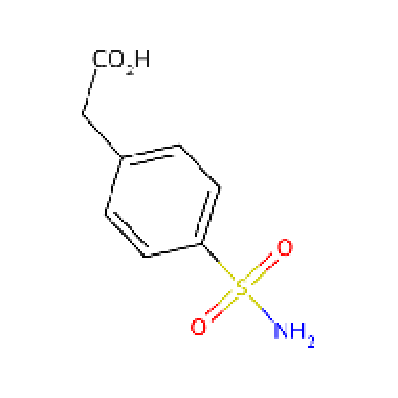 NS(=O)(=O)c1ccc(CC(=O)O)cc1